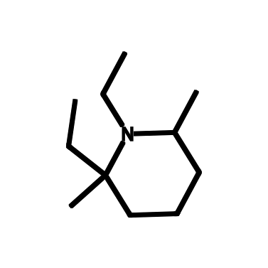 CCN1C(C)CCCC1(C)CC